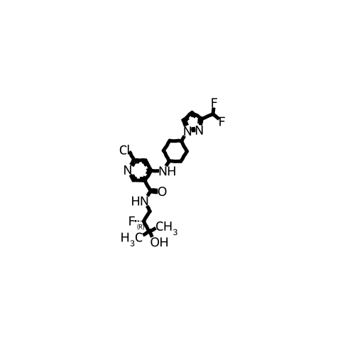 CC(C)(O)[C@H](F)CNC(=O)c1cnc(Cl)cc1NC1CCC(n2ccc(C(F)F)n2)CC1